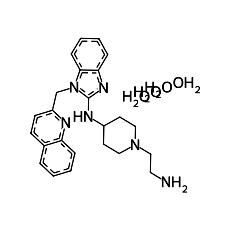 NCCN1CCC(Nc2nc3ccccc3n2Cc2ccc3ccccc3n2)CC1.O.O.O.O